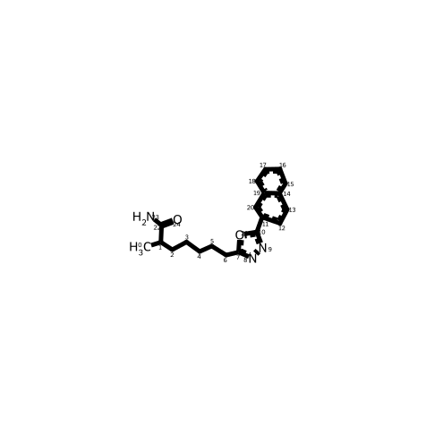 CC(CCCCCc1nnc(-c2ccc3ccccc3c2)o1)C(N)=O